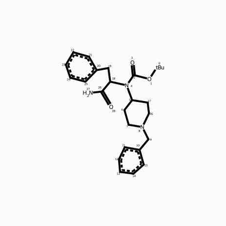 CC(C)(C)OC(=O)N(C1CCN(Cc2ccccc2)CC1)C(Cc1ccccc1)C(N)=O